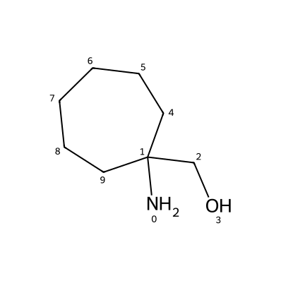 NC1(CO)CCCCCC1